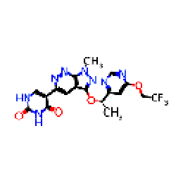 C[C@H](Oc1nn(C)c2nnc(-c3c[nH]c(=O)[nH]c3=O)cc12)c1cc(OCC(F)(F)F)ncn1